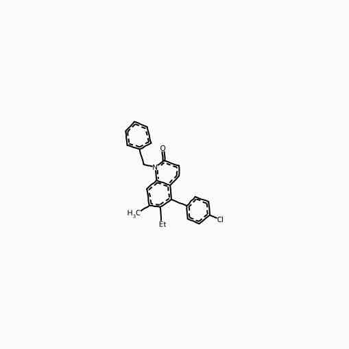 CCc1c(C)cc2c(ccc(=O)n2Cc2ccccc2)c1-c1ccc(Cl)cc1